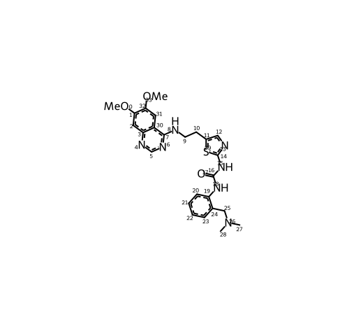 COc1cc2ncnc(NCCc3cnc(NC(=O)Nc4ccccc4CN(C)C)s3)c2cc1OC